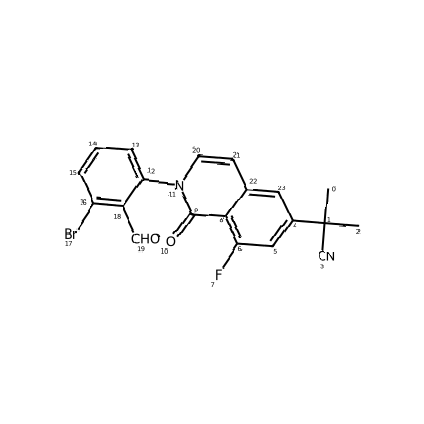 CC(C)(C#N)c1cc(F)c2c(=O)n(-c3cccc(Br)c3C=O)ccc2c1